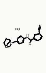 Cl.N#Cc1cccc(C(=O)Nc2ccc(N3CCN4CCC3CC4)cc2)c1